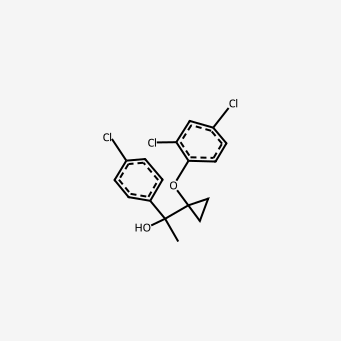 CC(O)(c1ccc(Cl)cc1)C1(Oc2ccc(Cl)cc2Cl)CC1